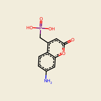 Nc1ccc2c(CP(=O)(O)O)cc(=O)oc2c1